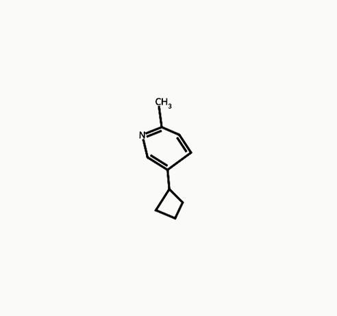 Cc1ccc(C2CCC2)cn1